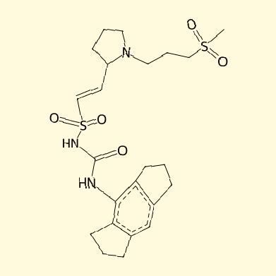 CS(=O)(=O)CCCN1CCCC1C=CS(=O)(=O)NC(=O)Nc1c2c(cc3c1CCC3)CCC2